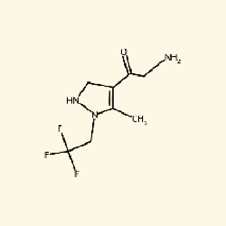 CC1=C(C(=O)CN)CNN1CC(F)(F)F